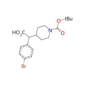 CC(C)(C)OC(=O)N1CCC(C(C(=O)O)c2ccc(Br)cc2)CC1